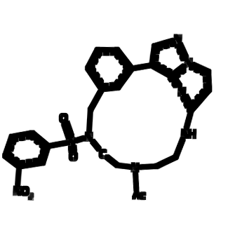 CC(=O)N1CCNc2ccn3ncc(c3n2)-c2cccc(c2)CN(S(=O)(=O)c2cccc([N+](=O)[O-])c2)CC1